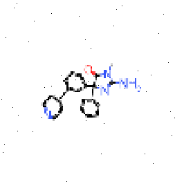 CN1C(=O)C(c2ccccc2)(c2cccc(-c3ccncc3)c2)N=C1N